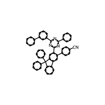 N#Cc1ccc(-c2cc3c(cc2-c2nc(-c4ccccc4)nc(-c4cccc(-c5ccccc5)c4)n2)C(c2ccccc2)(c2ccccc2)c2ccccc2-3)cc1